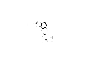 CC(C)(C)OC(=O)Nc1c(F)ccc2c1OC(C)(C)O2